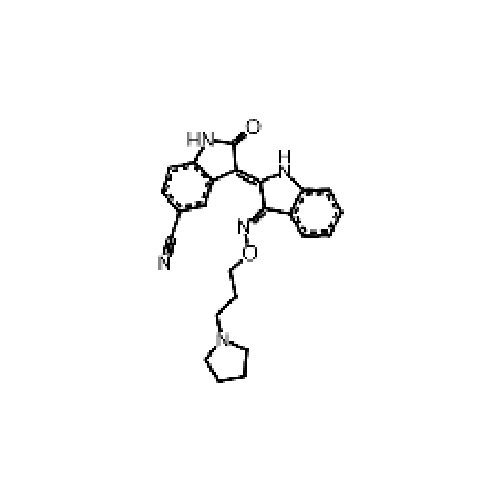 N#Cc1ccc2c(c1)/C(=C1/Nc3ccccc3/C1=N\OCCCN1CCCC1)C(=O)N2